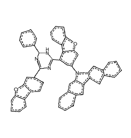 c1ccc(C2N=C(c3ccc4c(c3)oc3ccccc34)N=C(c3cc(-n4c5cc6ccccc6cc5c5cc6ccccc6cc54)cc4oc5ccccc5c34)N2)cc1